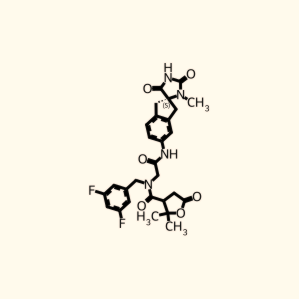 CN1C(=O)NC(=O)[C@@]12Cc1ccc(NC(=O)CN(Cc3cc(F)cc(F)c3)C(=O)C3CC(=O)OC3(C)C)cc1C2